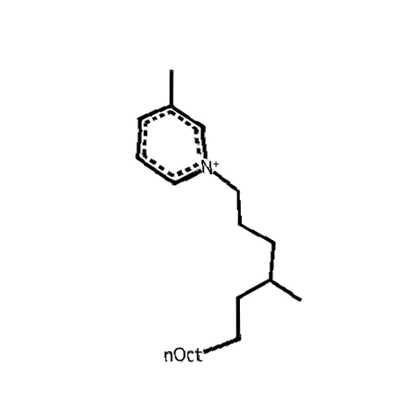 CCCCCCCCCCC(C)CCC[n+]1cccc(C)c1